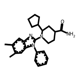 Cc1cc2nc(N3CCC(C(N)=O)CC3C3CCCC3)n(-c3ccccc3)c2cc1C